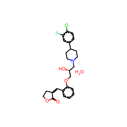 O.O=C1OCCC1=Cc1ccccc1OC[C@@H](O)CN1CCC(c2ccc(Cl)c(F)c2)CC1